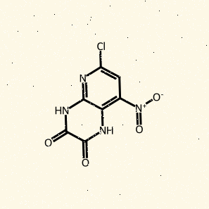 O=c1[nH]c2nc(Cl)cc([N+](=O)[O-])c2[nH]c1=O